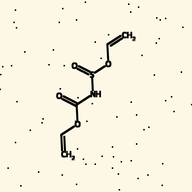 C=COC(=O)NS(=O)OC=C